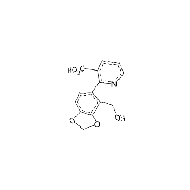 O=C(O)c1cccnc1-c1ccc2c(c1CO)OCO2